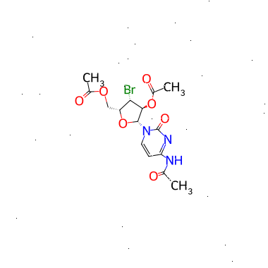 CC(=O)Nc1ccn([C@@H]2O[C@H](COC(C)=O)[C@H](Br)[C@H]2OC(C)=O)c(=O)n1